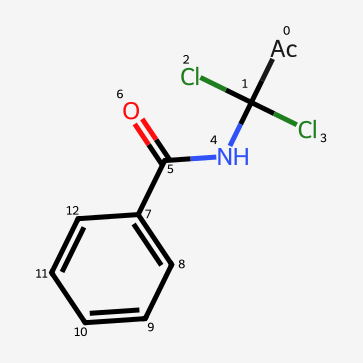 CC(=O)C(Cl)(Cl)NC(=O)c1ccccc1